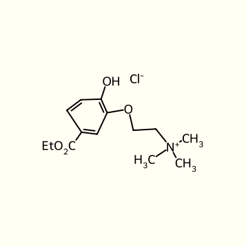 CCOC(=O)c1ccc(O)c(OCC[N+](C)(C)C)c1.[Cl-]